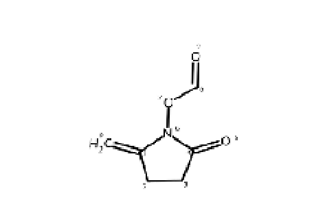 C=C1CCC(=O)N1OC=O